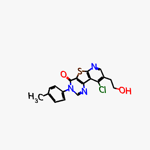 Cc1ccc(-n2cnc3c(sc4ncc(CCO)c(Cl)c43)c2=O)cc1